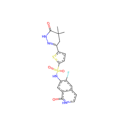 CC1(C)CC(c2ccc(S(=O)(=O)Nc3cc4c(=O)[nH]ccc4cc3F)s2)=NNC1=O